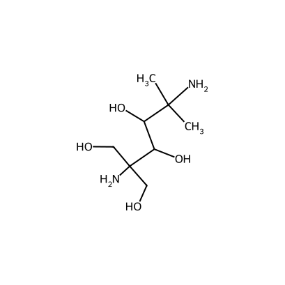 CC(C)(N)C(O)C(O)C(N)(CO)CO